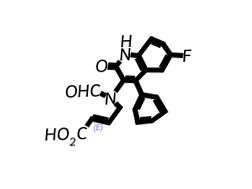 O=CN(C/C=C/C(=O)O)c1c(-c2ccccc2)c2cc(F)ccc2[nH]c1=O